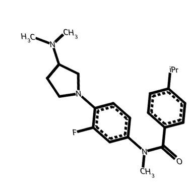 CC(C)c1ccc(C(=O)N(C)c2ccc(N3CCC(N(C)C)C3)c(F)c2)cc1